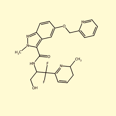 CC1CC=CC(C(F)(F)C(CO)NC(=O)c2c3cc(OCc4ccccn4)ccc3nn2C)=N1